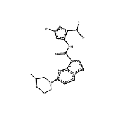 CC1CN(c2ccn3ncc(C(=O)Nc4cn(C(C)C)nc4C(F)F)c3n2)CCO1